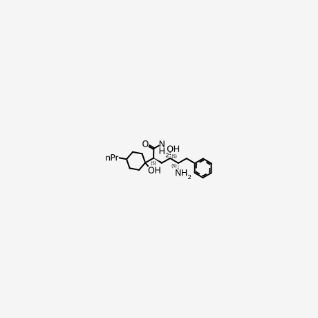 CCCC1CCC(O)([C@H](C[C@H](O)[C@@H](N)Cc2ccccc2)C(N)=O)CC1